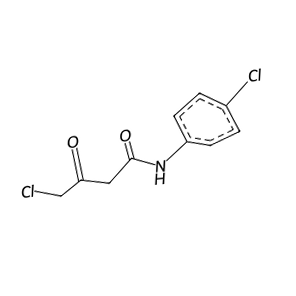 O=C(CCl)CC(=O)Nc1ccc(Cl)cc1